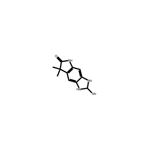 CCCC1Nc2cc3c(cc2N1)C(C)(C)C(=O)N3